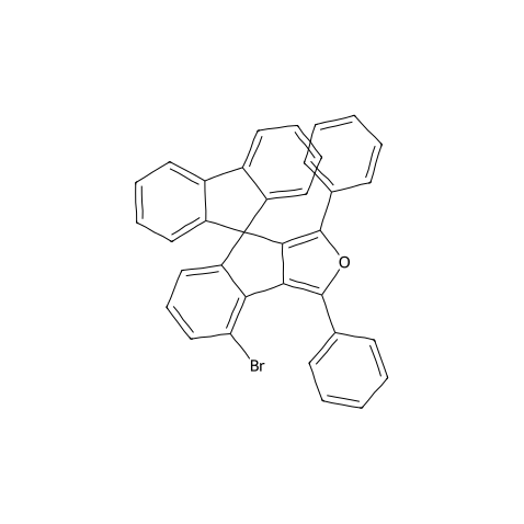 Brc1cccc2c1-c1c(-c3ccccc3)oc(-c3ccccc3)c1C21c2ccccc2-c2ccccc21